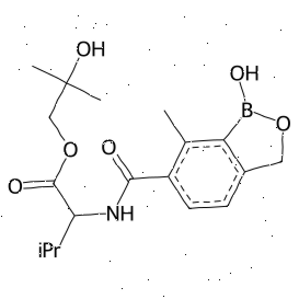 Cc1c(C(=O)NC(C(=O)OCC(C)(C)O)C(C)C)ccc2c1B(O)OC2